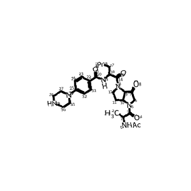 CC(=O)NC(C)C(=O)N1CC(=O)C2C1CCN2C(=O)C(CC(C)C)NC(=O)c1ccc(N2CCNCC2)cc1